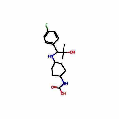 CC(C)(O)C(NC1CCC(NC(=O)O)CC1)c1ccc(F)cc1